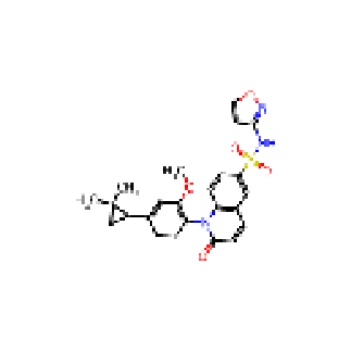 COC1=C(n2c(=O)ccc3cc(S(=O)(=O)Nc4ccon4)ccc32)CCC(C2CC2(C)C)=C1